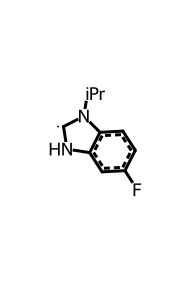 CC(C)N1[CH]Nc2cc(F)ccc21